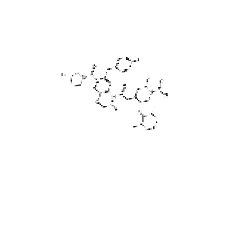 C[C@@H]1CN(CC(=O)N2c3cc(Cc4ccc(F)cc4)c(C(=O)N4CC[C@H](F)C4)nc3OC[C@@H]2C)[C@@H](CN2[C@H](C)COC[C@H]2C)CN1C(=O)O